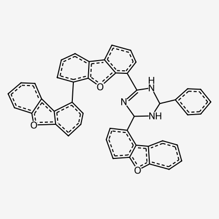 c1ccc(C2NC(c3cccc4c3oc3c(-c5cccc6oc7ccccc7c56)cccc34)=NC(c3cccc4oc5ccccc5c34)N2)cc1